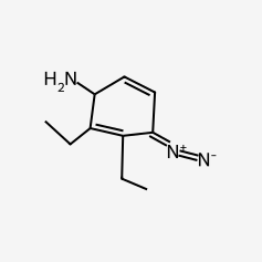 CCC1=C(CC)C(N)C=CC1=[N+]=[N-]